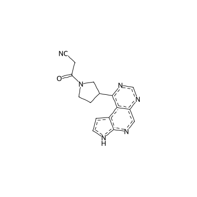 N#CCC(=O)N1CCC(c2ncnc3cnc4[nH]ccc4c23)C1